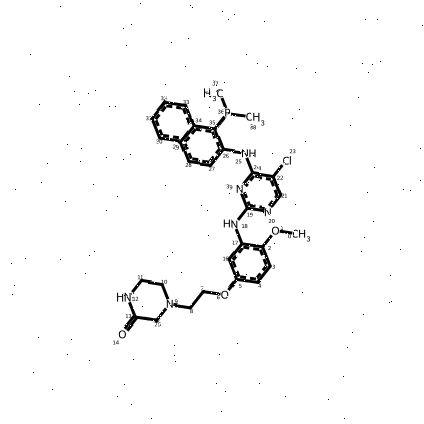 COc1ccc(OCCN2CCNC(=O)C2)cc1Nc1ncc(Cl)c(Nc2ccc3ccccc3c2P(C)C)n1